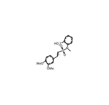 COc1ccc(/C=C/S(=O)(=O)N(C)c2ccccc2C(=O)O)cc1OC